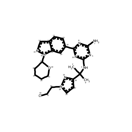 CC(C)(Nc1nc(N)nc(-c2ccc3cnn(C4CCCCO4)c3c2)n1)c1ccn(CCCl)n1